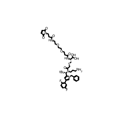 CC(C)(C)[C@H](c1cc(-c2cc(F)ccc2F)cn1Cc1ccccc1)N(CCCN)C(=O)CSC[C@H](NC(=O)CCOCCOCCNC(=O)CCN1C(=O)C=CC1=O)C(O)O